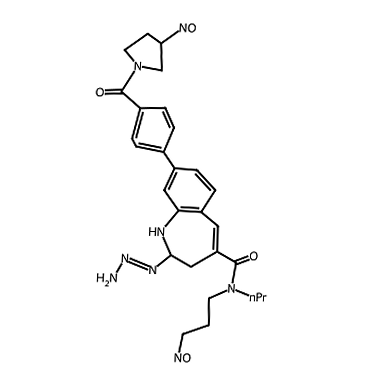 CCCN(CCCN=O)C(=O)C1=Cc2ccc(-c3ccc(C(=O)N4CCC(N=O)C4)cc3)cc2NC(N=NN)C1